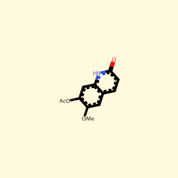 COc1cc2ccc(=O)[nH]c2cc1OC(C)=O